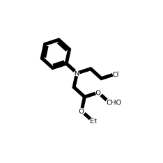 CCOC(CN(CCCl)c1ccccc1)OC=O